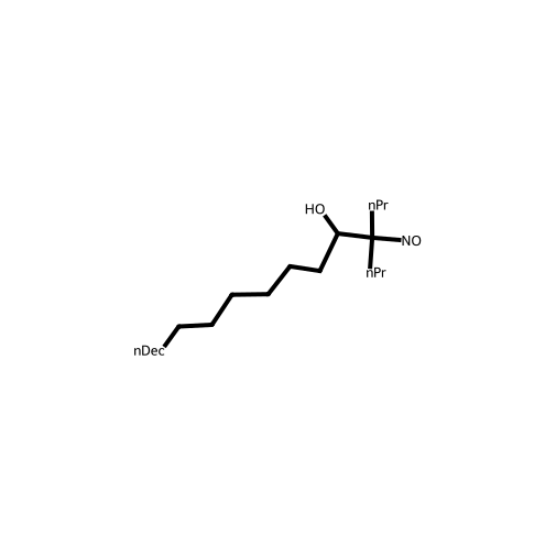 CCCCCCCCCCCCCCCCC(O)C(CCC)(CCC)N=O